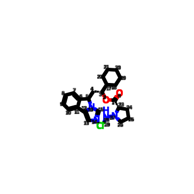 O=C(O[C@H](CC1c2ccccc2-c2cncn21)C1CCCCC1)[C@@H]1CCCN1NCl